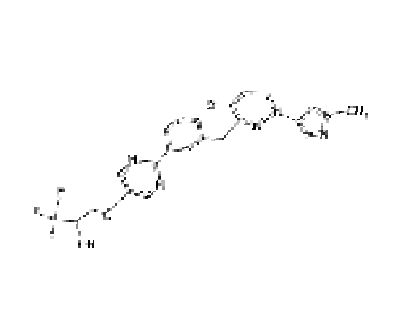 Cn1cc(-n2ccc(=O)c(Cc3cccc(-c4ncc(OCC(O)C(F)(F)F)cn4)c3)n2)cn1